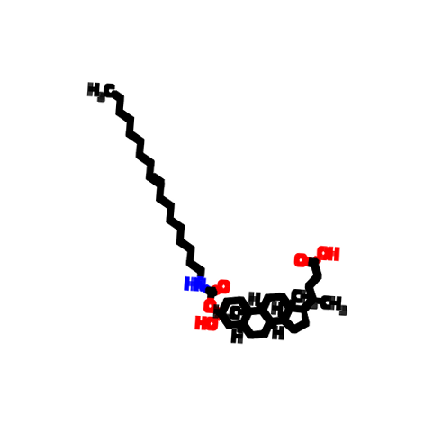 CCCCCCCC/C=C/CCCCCCCCNC(=O)O[C@@]1(O)CC[C@@]2(C)[C@H](CC[C@@H]3[C@@H]2CC[C@]2(C)[C@@H]([C@H](C)CCC(=O)O)CC[C@@H]32)C1